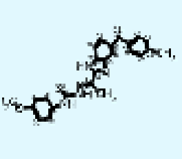 COc1ccc(NC(=S)N/N=C(\C)c2nc3cc(C(=O)c4ccc(C)cc4)ccc3[nH]2)cc1